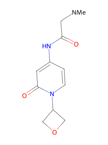 CNCC(=O)Nc1ccn(C2COC2)c(=O)c1